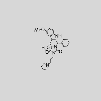 COc1ccc2[nH]c3c(c2c1)C[C@@]1(C)C(=O)N(CCCN2CCCC2)C(=O)N1[C@@H]3C1=CCCC=C1